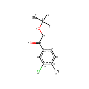 CC(C)(C)[Si](C)(C)OCC(=O)c1ccc(C#N)c(Cl)c1